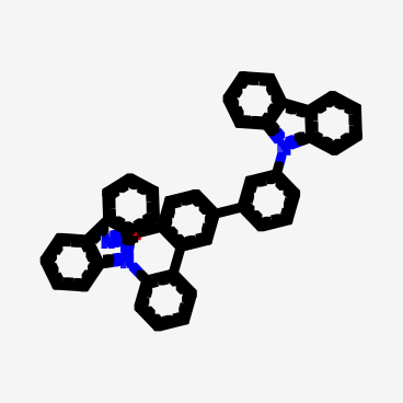 N#Cc1ccc(-c2cccc(-n3c4ccccc4c4ccccc43)c2)cc1-c1ccccc1-n1c2ccccc2c2ccccc21